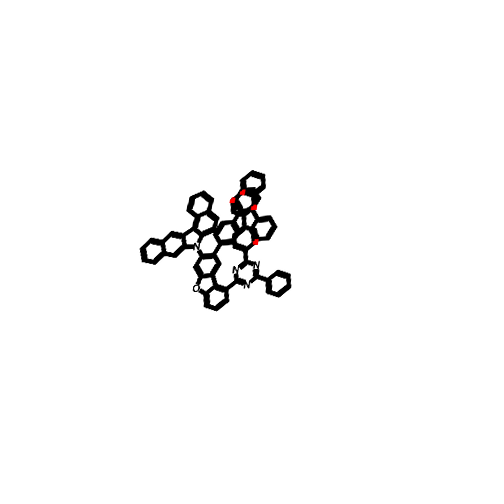 c1ccc(-c2nc(-c3ccc(-c4ccc5ccccc5c4)cc3)nc(-c3cccc4oc5cc(-n6c7cc8ccccc8cc7c7c8ccccc8ccc76)c(-c6ccc(-c7ccccc7-c7ccccc7)cc6)cc5c34)n2)cc1